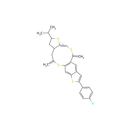 C=C1CC2CC(C(C)C)S/C2=C/SC(=C)c2cc3cc(-c4ccc(F)cc4)sc3cc2S1